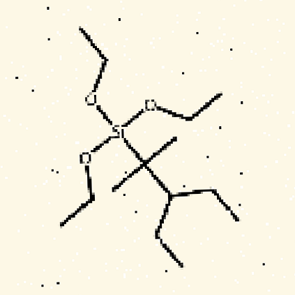 CCO[Si](OCC)(OCC)C(C)(C)C(CC)CC